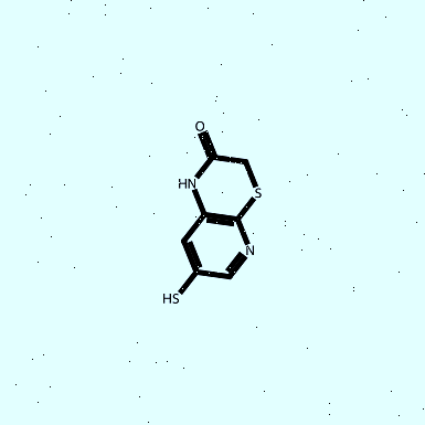 O=C1CSc2ncc(S)cc2N1